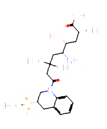 C[C@H](C[C@H](O)[C@@H](N)CC(C)(C)CC(=O)N1C[C@H](S(C)(=O)=O)Cc2ccccc21)C(=O)O